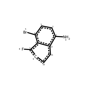 Nc1ccc(Br)c2c(F)cccc12